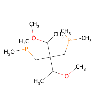 COC(C)C(CP(C)C)(CP(C)C)C(C)OC